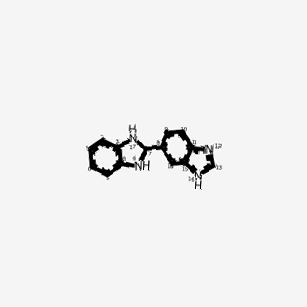 c1ccc2c(c1)NC(c1ccc3nc[nH]c3c1)N2